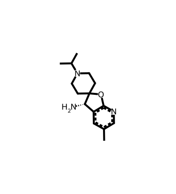 Cc1cnc2c(c1)[C@H](N)C1(CCN(C(C)C)CC1)O2